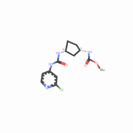 CC(C)(C)OC(=O)N[C@H]1CC[C@@H](NC(=O)Nc2ccnc(Cl)c2)C1